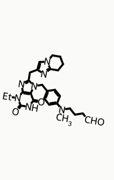 CCn1c(=O)[nH]c(=O)c2c1nc(Cc1cn3c(n1)CCCC3)n2Cc1ccc(N(C)CCCC=O)cc1